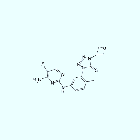 Cc1ccc(Nc2ncc(F)c(N)n2)cc1-n1nnn(C2COC2)c1=O